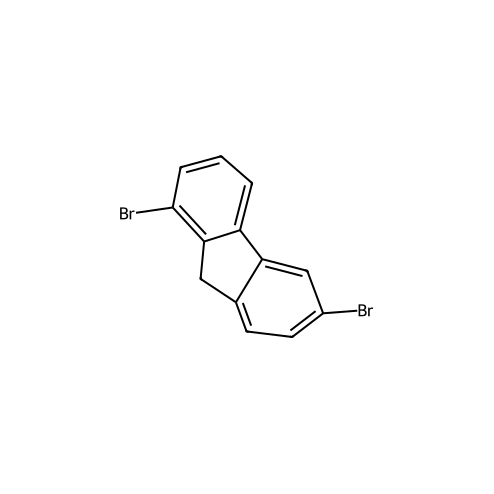 Brc1ccc2c(c1)-c1cccc(Br)c1C2